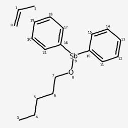 C=CC.CCCCC[O][Sb]([c]1ccccc1)[c]1ccccc1